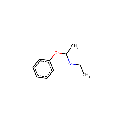 CC[N]C(C)Oc1ccccc1